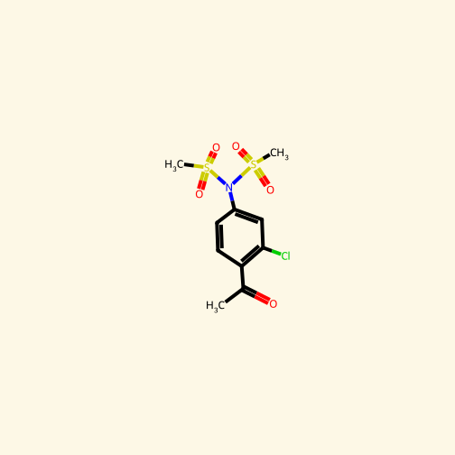 CC(=O)c1ccc(N(S(C)(=O)=O)S(C)(=O)=O)cc1Cl